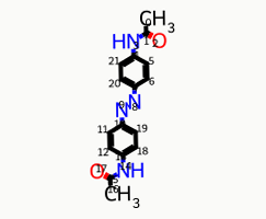 CC(=O)Nc1ccc(N=Nc2ccc(NC(C)=O)cc2)cc1